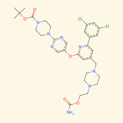 CC(C)(C)OC(=O)N1CCN(c2ncc(Oc3cc(CN4CCN(CCOC(N)=O)CC4)cc(-c4cc(Cl)cc(Cl)c4)n3)cn2)CC1